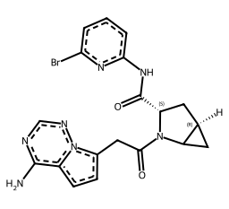 Nc1ncnn2c(CC(=O)N3C4C[C@@H]4C[C@H]3C(=O)Nc3cccc(Br)n3)ccc12